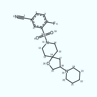 N#Cc1ccc(F)c(S(=O)(=O)N2CCC3(CC2)CC(N2CCCCC2)CO3)c1